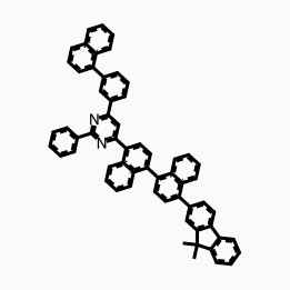 CC1(C)c2ccccc2-c2ccc(-c3ccc(-c4ccc(-c5cc(-c6cccc(-c7cccc8ccccc78)c6)nc(-c6ccccc6)n5)c5ccccc45)c4ccccc34)cc21